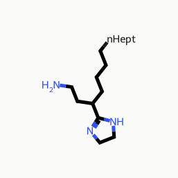 CCCCCCCCCCCC(CCN)C1=NCCN1